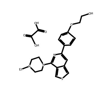 CCN1CCN(c2nc(-c3ccc(OCCO)cc3)cc3cscc23)CC1.O=C(O)C(=O)O